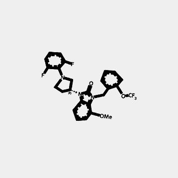 COc1cccc2c1n(Cc1ccccc1OC(F)(F)F)c(=O)n2[C@@H]1CCN(c2c(F)cccc2F)C1